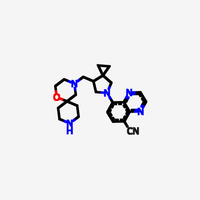 N#Cc1ccc(N2CC(CN3CCOC4(CCNCC4)C3)C3(CC3)C2)c2nccnc12